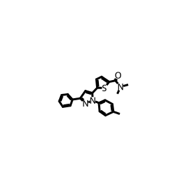 Cc1ccc(-n2nc(-c3ccccc3)cc2-c2ccc(C(=O)N(C)C)s2)cc1